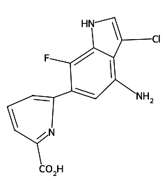 Nc1cc(-c2cccc(C(=O)O)n2)c(F)c2[nH]cc(Cl)c12